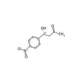 CC(=O)C[C@@H](O)c1ccc([N+](=O)[O-])cc1